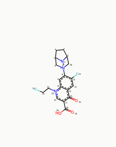 CN1C2CCC1CN(c1cc3c(cc1F)c(=O)c(C(=O)O)cn3CCF)C2